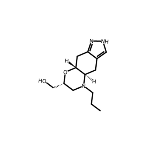 CCCN1C[C@H](CO)O[C@@H]2Cc3n[nH]cc3C[C@H]21